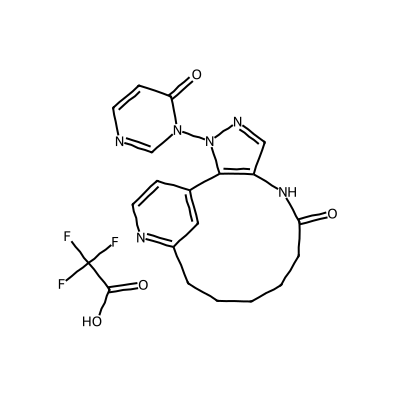 O=C(O)C(F)(F)F.O=C1CCCCCc2cc(ccn2)-c2c(cnn2-n2cnccc2=O)N1